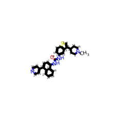 CN1CCC(c2csc3ccc(NC(=O)Nc4ccc(-c5ccncc5)c5ccccc45)cc23)CC1